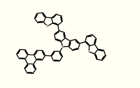 c1cc(-c2ccc3c4ccccc4c4ccccc4c3c2)cc(-n2c3ccc(-c4cccc5c4sc4ccccc45)cc3c3cc(-c4cccc5c4sc4ccccc45)ccc32)c1